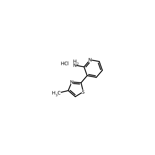 Cc1csc(-c2cccnc2N)n1.Cl